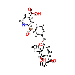 CCc1c(OCc2cccc([S+]([O-])c3cc(C(=O)O)ccn3)c2)ccc(C(C)=O)c1O